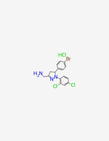 Cl.NCC1=NN(c2ccc(Cl)cc2Cl)C(c2ccc(Br)cc2)C1